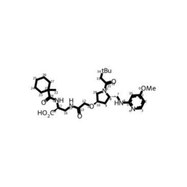 COc1ccnc(NC[C@@H]2C[C@@H](OCC(=O)NC[C@H](NC(=O)C3(C)CCCCC3)C(=O)O)CN2C(=O)CC(C)(C)C)c1